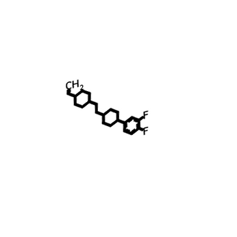 C=CC1CCC(CCC2CCC(c3ccc(F)c(F)c3)CC2)CC1